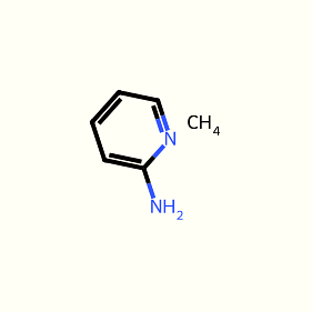 C.Nc1ccccn1